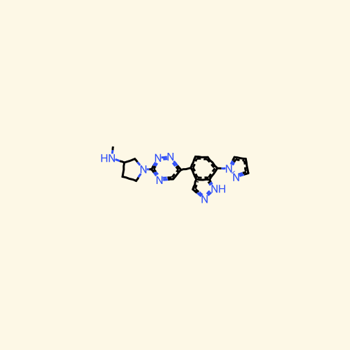 CNC1CCN(c2ncc(-c3ccc(-n4cccn4)c4[nH]ncc34)nn2)C1